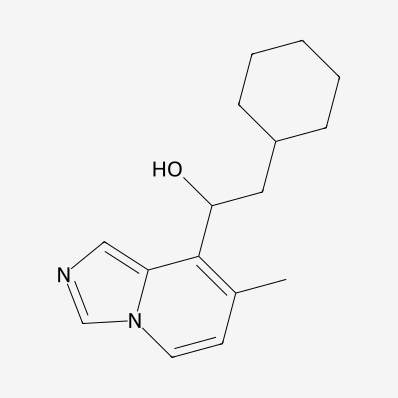 Cc1ccn2cncc2c1C(O)CC1CCCCC1